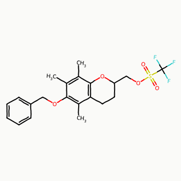 Cc1c(C)c2c(c(C)c1OCc1ccccc1)CCC(COS(=O)(=O)C(F)(F)F)O2